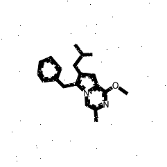 COc1nc(C)cn2c(Cc3ccccc3)c(CC(C)C)cc12